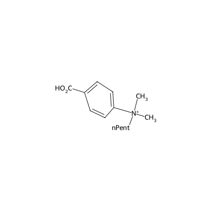 CCCCC[N+](C)(C)c1ccc(C(=O)O)cc1